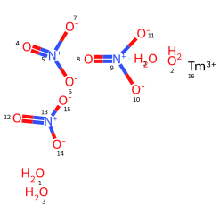 O.O.O.O.O=[N+]([O-])[O-].O=[N+]([O-])[O-].O=[N+]([O-])[O-].[Tm+3]